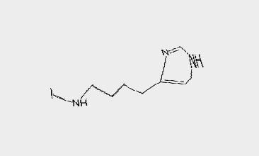 INCCCCc1c[nH]cn1